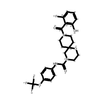 O=C(Nc1ccc(OC(F)(F)F)cc1)N1CCOC2(CCN(C(=O)c3c(O)cccc3F)CC2)C1